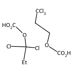 CCC(Cl)(Cl)OC(=O)O.O=C(O)OCCC(Cl)(Cl)Cl